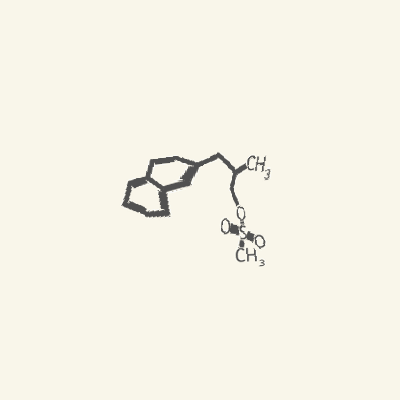 CC(COS(C)(=O)=O)Cc1ccc2ccccc2c1